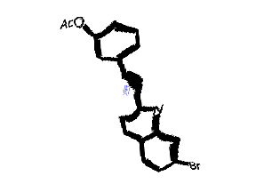 CC(=O)Oc1cccc(/C=C/c2ccc3ccc(Br)cc3n2)c1